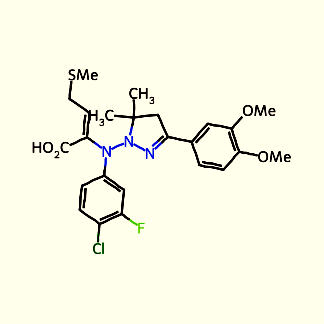 COc1ccc(C2=NN(N(C(=CCSC)C(=O)O)c3ccc(Cl)c(F)c3)C(C)(C)C2)cc1OC